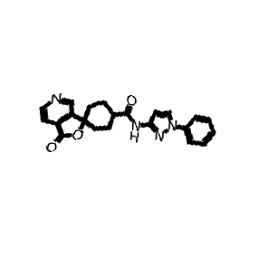 O=C1OC2(CCC(C(=O)Nc3ccn(-c4ccccc4)n3)CC2)c2cnccc21